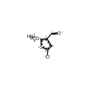 O.O=Cc1csc(Cl)c1.[NaH]